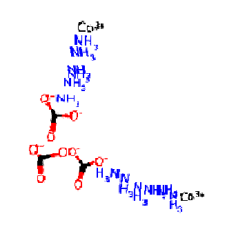 N.N.N.N.N.N.N.N.N.N.N.N.O=C([O-])[O-].O=C([O-])[O-].O=C([O-])[O-].[Co+3].[Co+3]